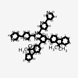 CC1(C)c2ccccc2-c2ccc(-c3cc(-c4ccc5c(c4)C(C)(C)c4ccccc4-5)c4nc(-c5ccc(-c6cccnc6)nc5)nc(-c5ccc(-c6cccnc6)nc5)c4c3)cc21